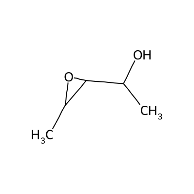 CC(O)C1OC1C